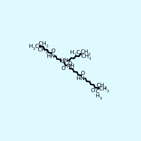 CC(C)(C)CCCCC(=O)NCCCC[C@H](NC(=O)CCCCC(C)(C)C)C(=O)NCCCCCC(=O)NCCCCCC(=O)C(C)(C)C